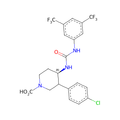 O=C(Nc1cc(C(F)(F)F)cc(C(F)(F)F)c1)N[C@@H]1CCN(C(=O)O)CC1c1ccc(Cl)cc1